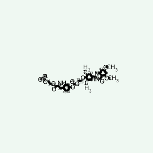 COc1cc(OC)c2c(=O)[nH]c(-c3cc(C)c(OCCOC(=O)Oc4ccc(CC(N)C(=O)OCCO[N+](=O)[O-])cc4)c(C)c3)nc2c1